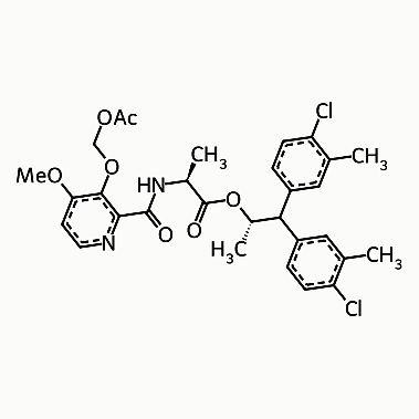 COc1ccnc(C(=O)N[C@@H](C)C(=O)O[C@@H](C)C(c2ccc(Cl)c(C)c2)c2ccc(Cl)c(C)c2)c1OCOC(C)=O